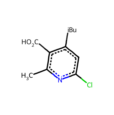 CCC(C)c1cc(Cl)nc(C)c1C(=O)O